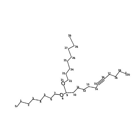 CCCCCCCCOC(CCCCCC#CCCCI)OCCCCCCCC